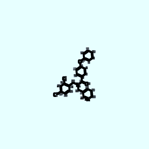 O=C(c1ccc(Oc2ccccc2)cc1)N(Cc1cccnc1)Cc1ccc(Cl)cc1Cl